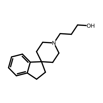 OCCCN1CCC2(CCc3ccccc32)CC1